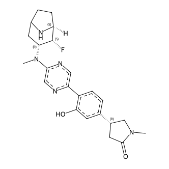 CN1C[C@@H](c2ccc(-c3cnc(N(C)[C@@H]4CC5CC[C@H](N5)[C@@H]4F)cn3)c(O)c2)CC1=O